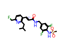 CC(C)Cc1nc(CF)ccc1/C=C/C(=O)NCc1cc(F)c(NS(C)(=O)=O)c(F)c1